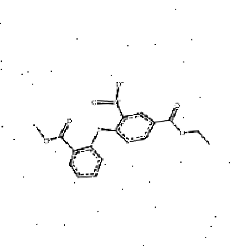 CCOC(=O)c1ccc(Sc2ccccc2C(=O)OC)c([N+](=O)[O-])c1